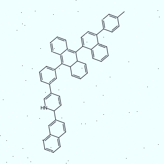 Cc1ccc(-c2ccc(C3=c4ccccc4=C(c4cccc(C5=CNC(c6ccc7ccccc7c6)C=C5)c4)C4C=CC=CC34)c3ccccc23)cc1